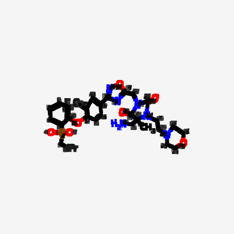 CC(C)CS(=O)(=O)c1ccccc1Oc1ccc(-c2noc(CN3C(=O)N(CCN4CCOCC4)C(C)(CN)C3=O)n2)cc1C(F)(F)F